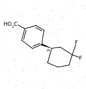 O=C(O)c1ccc([C@@H]2CCCC(F)(F)C2)cc1